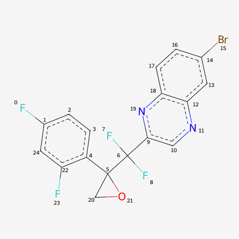 Fc1ccc(C2(C(F)(F)c3cnc4cc(Br)ccc4n3)CO2)c(F)c1